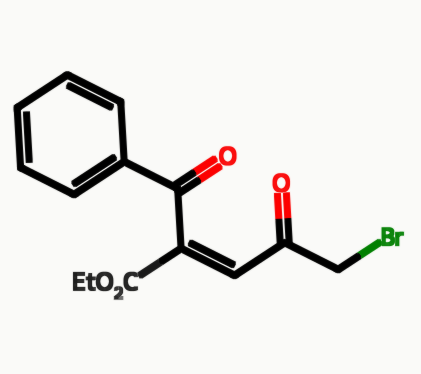 CCOC(=O)/C(=C/C(=O)CBr)C(=O)c1ccccc1